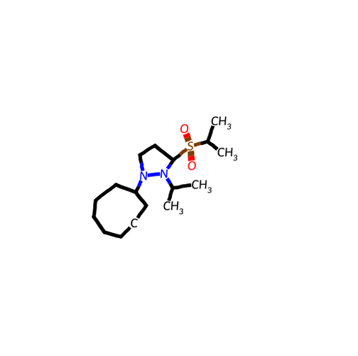 CC(C)N1C(S(=O)(=O)C(C)C)CCN1C1CCCCCCC1